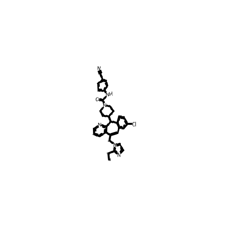 CCc1nccn1CC1=Cc2cc(Cl)ccc2C(C2CCN(C(=O)Nc3ccc(C#N)cc3)CC2)c2ncccc21